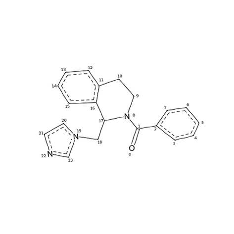 O=C(c1ccccc1)N1CCc2ccccc2C1Cn1ccnc1